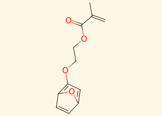 C=C(C)C(=O)OCCOc1cc2ccc1o2